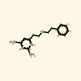 Nc1cc(CCSCCc2ccccc2)nc(N)n1